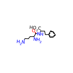 NCCC[C@H](N)C(=O)N[C@H](CCc1ccccc1)C(=O)O